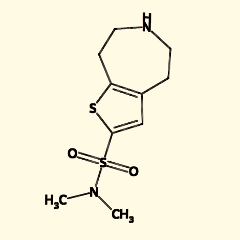 CN(C)S(=O)(=O)c1cc2c(s1)CCNCC2